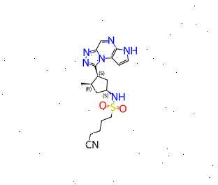 C[C@@H]1C[C@H](NS(=O)(=O)CCCCC#N)C[C@@H]1c1nnc2cnc3[nH]ccc3n12